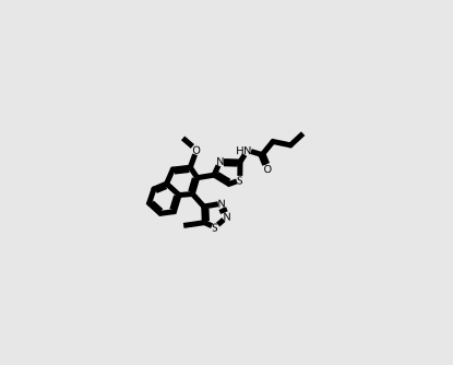 CCCC(=O)Nc1nc(-c2c(OC)cc3ccccc3c2-c2nnsc2C)cs1